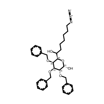 [N-]=[N+]=NCCCCCCC(O)[C@H]1O[C@H](O)[C@H](OCc2ccccc2)[C@@H](OCc2ccccc2)[C@H]1OCc1ccccc1